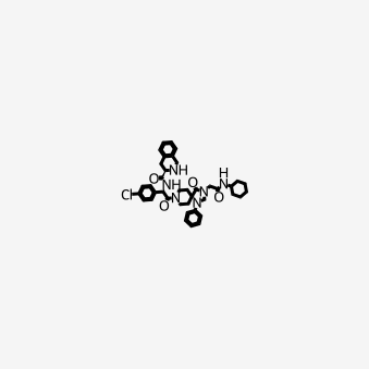 O=C(CN1CN(c2ccccc2)C2(CCN(C(=O)[C@@H](NC(=O)[C@H]3Cc4ccccc4CN3)c3ccc(Cl)cc3)CC2)C1=O)NC1CCCCC1